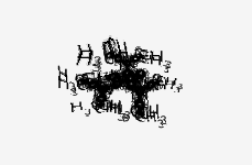 CC(C)(C)c1ccc(-c2nc(-c3ccc(C(C)(C)C)cc3)nc(-c3cc4c5c(c3)-n3c6ccccc6c6c(-c7nc(-c8ccc(C(C)(C)C)cc8)nc(-c8ccc(C(C)(C)C)cc8)n7)ccc(c63)B5c3ccc(-c5nc(-c6ccc(C(C)(C)C)cc6)nc(-c6ccc(C(C)(C)C)cc6)n5)c5c3N4C3C=CC=CC53)n2)cc1